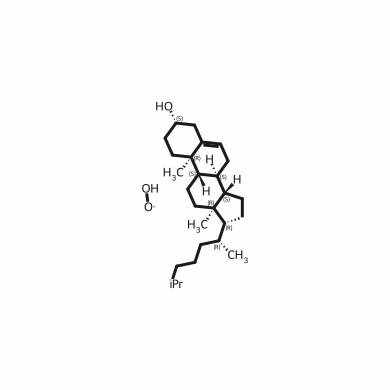 CC(C)CCC[C@@H](C)[C@H]1CC[C@H]2[C@@H]3CC=C4C[C@@H](O)CC[C@]4(C)[C@H]3CC[C@]12C.[O]O